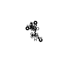 COC(=O)c1[nH]c(SCc2ccccn2)nc1CCNC(=O)[C@H](Cc1ccccc1)NC(=O)N(Cc1ccccc1)NC(=O)C(C)(C)C